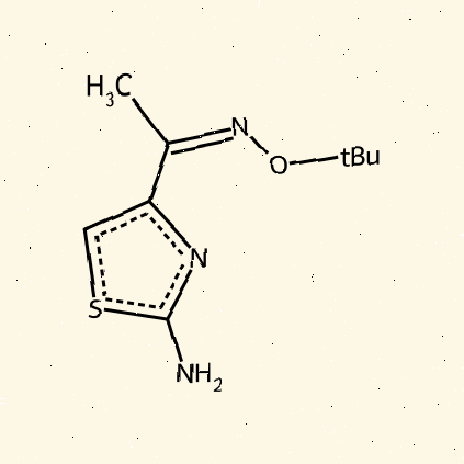 C/C(=N/OC(C)(C)C)c1csc(N)n1